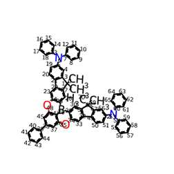 CC1(C)c2cc(N(c3ccccc3)c3ccccc3)ccc2-c2cc3c(cc21)B1c2cc4c(cc2Oc2cc(-c5ccccc5)cc(c21)O3)-c1ccc(N(c2ccccc2)c2ccccc2)cc1C4(C)C